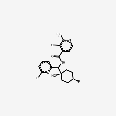 O=C(NC(c1cccc(Cl)n1)[C@]1(O)CC[C@@H](F)CC1)c1ccnc(C(F)(F)F)c1Cl